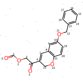 O=COCC(=O)C1=Cc2cc(OCc3ccccc3)ccc2OC1